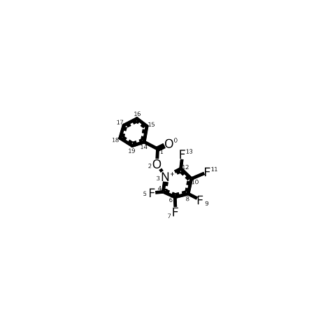 O=C(O[n+]1c(F)c(F)c(F)c(F)c1F)c1ccccc1